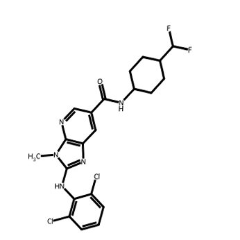 Cn1c(Nc2c(Cl)cccc2Cl)nc2cc(C(=O)NC3CCC(C(F)F)CC3)cnc21